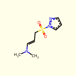 CN(C)C=CCS(=O)(=O)n1cccn1